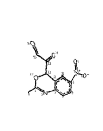 CC1=Nc2ccc([N+](=O)[O-])cc2C(C(=O)C=O)O1